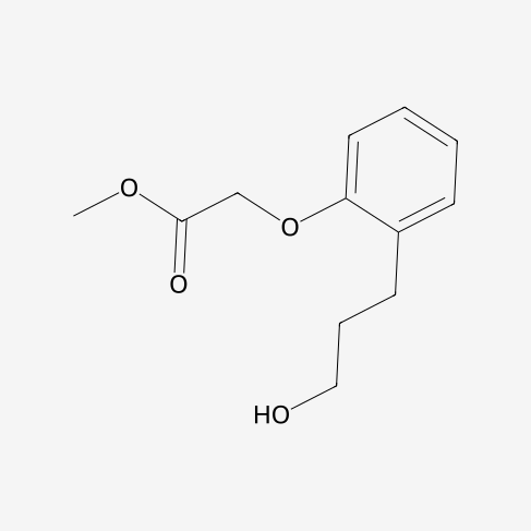 COC(=O)COc1ccccc1CCCO